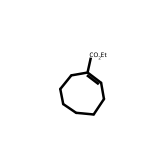 CCOC(=O)/C1=C/CCCCCC1